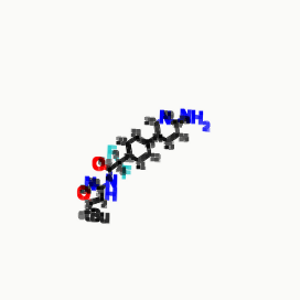 CC(C)(C)c1cc(NC(=O)C(F)(F)c2ccc(-c3ccc(N)nc3)cc2)no1